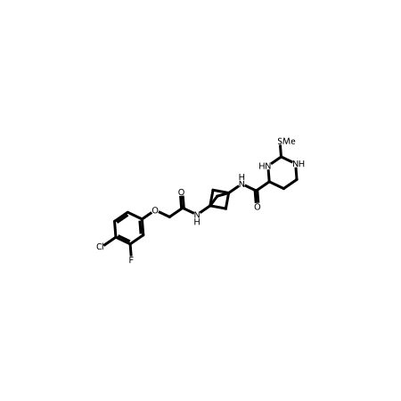 CSC1NCCC(C(=O)NC23CC(NC(=O)COc4ccc(Cl)c(F)c4)(C2)C3)N1